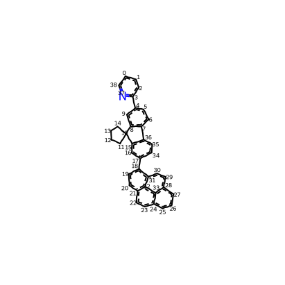 c1ccc(-c2ccc3c(c2)C2(CCCC2)c2cc(-c4ccc5ccc6cccc7ccc4c5c67)ccc2-3)nc1